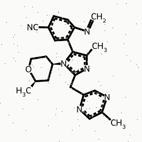 C=Nc1ccc(C#N)cc1-c1c(C)nc(Cc2cnc(C)cn2)n1[C@@H]1CCO[C@H](C)C1